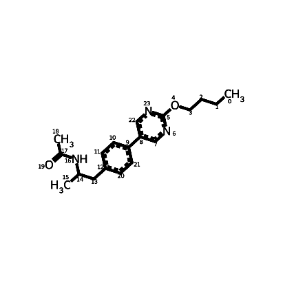 CCCCOc1ncc(-c2ccc(CC(C)NC(C)=O)cc2)cn1